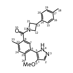 COc1cn[nH]c1-c1cc(C(=O)N2CC(c3ccc(C)cc3)C2)c(C)cc1C